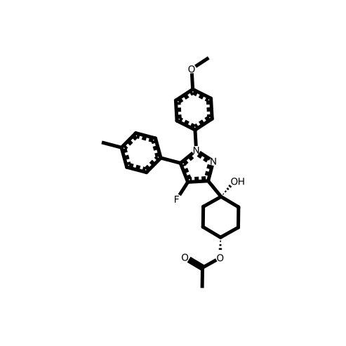 COc1ccc(-n2nc([C@]3(O)CC[C@@H](OC(C)=O)CC3)c(F)c2-c2ccc(C)cc2)cc1